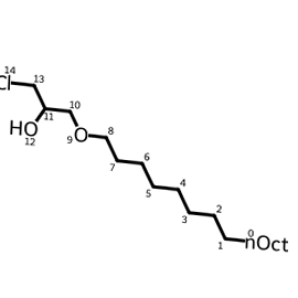 CCCCCCCCCCCCCCCCOCC(O)CCl